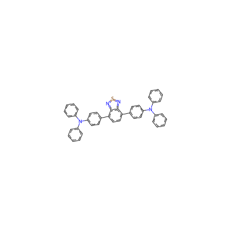 c1ccc(N(c2ccccc2)c2ccc(-c3ccc(-c4ccc(N(c5ccccc5)c5ccccc5)cc4)c4nsnc34)cc2)cc1